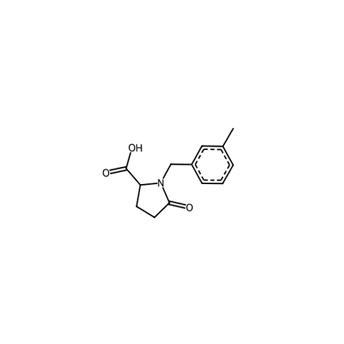 Cc1cccc(CN2C(=O)CCC2C(=O)O)c1